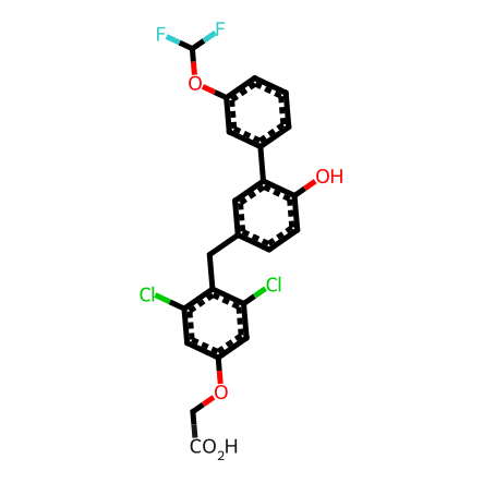 O=C(O)COc1cc(Cl)c(Cc2ccc(O)c(-c3cccc(OC(F)F)c3)c2)c(Cl)c1